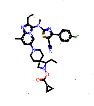 CCc1nc2c(C)cc(N3CCC4(CC3)CN(OC(=O)C3CC3)C4CC)cn2c1N(C)c1nc(-c2ccc(F)cc2)c(C#N)s1